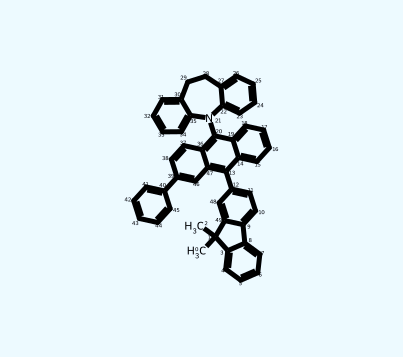 CC1(C)c2ccccc2-c2ccc(-c3c4ccccc4c(N4c5ccccc5CCc5ccccc54)c4ccc(-c5ccccc5)cc34)cc21